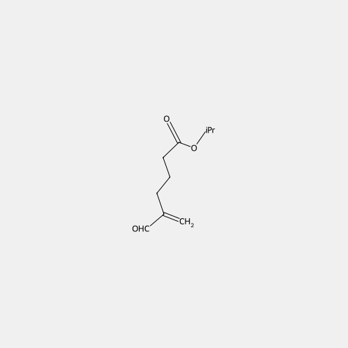 C=C(C=O)CCCC(=O)OC(C)C